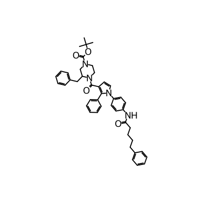 CC(C)(C)OC(=O)N1CCN(C(=O)c2ccn(-c3ccc(NC(=O)CCCCc4ccccc4)cc3)c2-c2ccccc2)C(Cc2ccccc2)C1